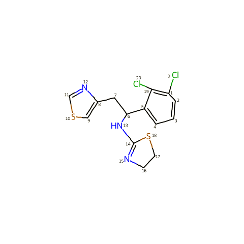 Clc1cccc(C(Cc2cscn2)NC2=NCCS2)c1Cl